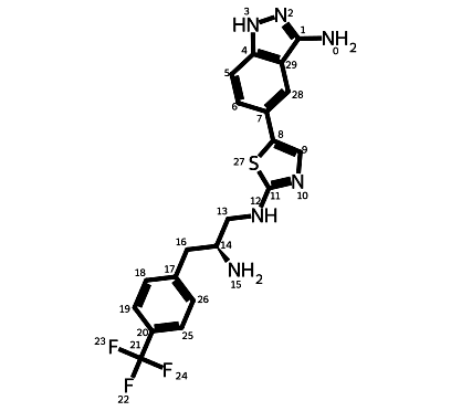 Nc1n[nH]c2ccc(-c3cnc(NC[C@@H](N)Cc4ccc(C(F)(F)F)cc4)s3)cc12